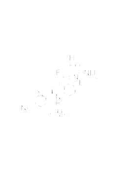 COCc1cc(C#N)cnc1C(=O)Nc1ccc(F)c([C@@]2(C(F)F)N=C(N)O[C@@H]3CC32)c1